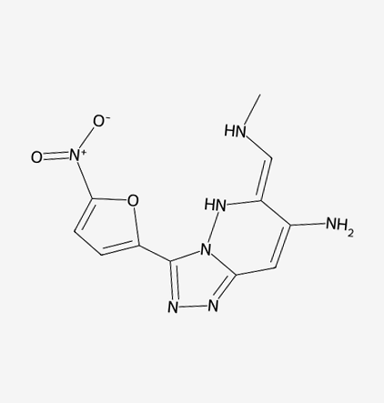 CNC=C1Nn2c(nnc2-c2ccc([N+](=O)[O-])o2)C=C1N